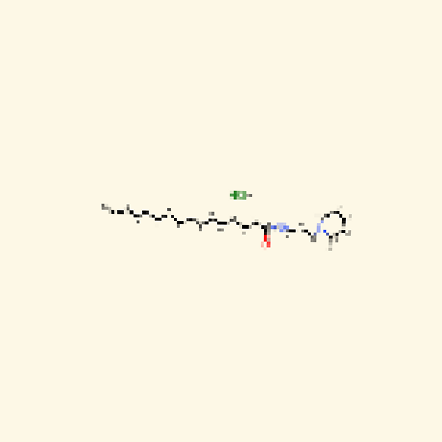 CCCCCCCCCCCCCCCC(=O)NCCCN1CCCCC1C.Cl